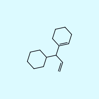 C=C[C](C1=CCCCC1)C1CCCCC1